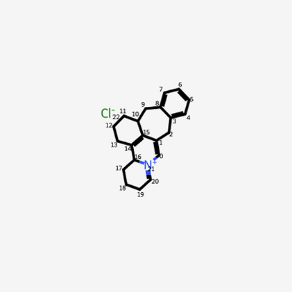 C1=C2Cc3ccccc3CC3CCCC(=C23)C2CCCC=[N+]12.[Cl-]